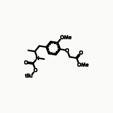 COC(=O)COc1ccc(CC(C)N(C)C(=O)OC(C)(C)C)cc1OC